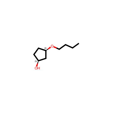 CCCCO[C@@H]1CC[C@H](O)C1